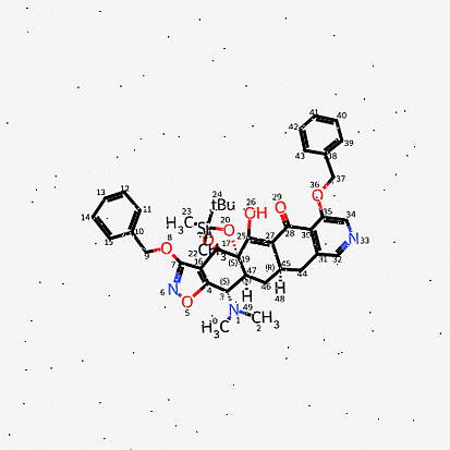 CN(C)[C@@H]1c2onc(OCc3ccccc3)c2C(=O)[C@@]2(O[Si](C)(C)C(C)(C)C)C(O)=C3C(=O)c4c(cncc4OCc4ccccc4)C[C@H]3C[C@@H]12